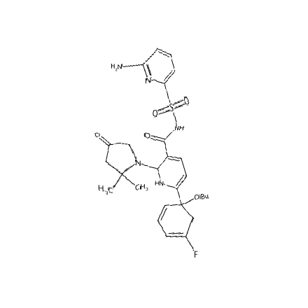 CC(C)COC1(C2=CC=C(C(=O)NS(=O)(=O)c3cccc(N)n3)C(N3CC(=O)CC3(C)C)N2)C=CC=C(F)C1